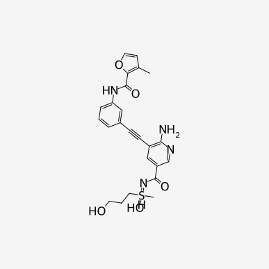 Cc1ccoc1C(=O)Nc1cccc(C#Cc2cc(C(=O)N=[SH](C)(O)CCCO)cnc2N)c1